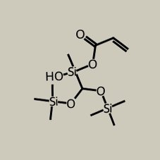 C=CC(=O)O[Si](C)(O)C(O[Si](C)(C)C)O[Si](C)(C)C